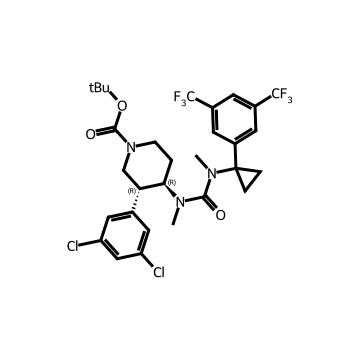 CN(C(=O)N(C)C1(c2cc(C(F)(F)F)cc(C(F)(F)F)c2)CC1)[C@@H]1CCN(C(=O)OC(C)(C)C)C[C@H]1c1cc(Cl)cc(Cl)c1